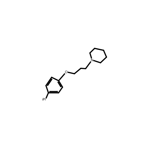 CC(C)c1ccc(OCCCN2CCCCC2)cc1